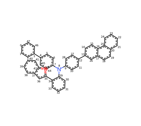 c1ccc(-c2ccc(N(c3ccc(-c4ccc5c(ccc6ccccc65)c4)cc3)c3ccccc3-c3cc4ccccc4o3)cc2)cc1